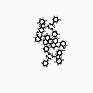 c1ccc(-c2nc(-c3ccccc3)nc(-n3c4ccccc4c4cc5c(cc43)N(c3ccc4c6cccc7c(N8c9ccccc9Oc9cc%10c%11ccccc%11n(-c%11nc(-c%12ccccc%12)nc(-c%12ccccc%12)n%11)c%10cc98)ccc(c8cccc3c84)c76)c3ccccc3O5)n2)cc1